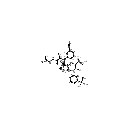 COC(=O)C1=C(C)N(c2cccc(C(F)(F)F)c2)c2n[nH]c(=O)n2[C@@H]1c1ccc(C#N)cc1NC(=O)NCCN(C)C